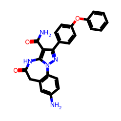 NC(=O)c1c(-c2ccc(Oc3ccccc3)cc2)nn2c1NC(=O)Cc1cc(N)ccc1-2